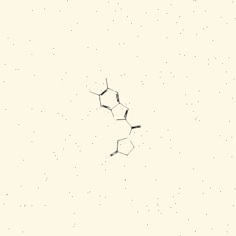 Cc1cc2cc(C(=O)N3CCC(=N)C3)[nH]c2cc1C